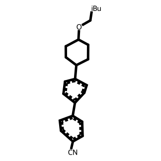 CCC(C)COC1CCC(c2ccc(-c3ccc(C#N)cc3)cc2)CC1